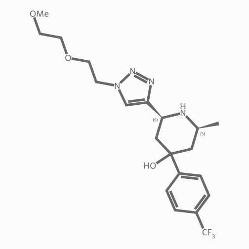 COCCOCCn1cc([C@@H]2CC(O)(c3ccc(C(F)(F)F)cc3)C[C@H](C)N2)nn1